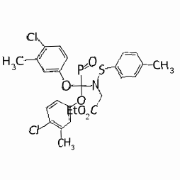 CCOC(=O)CN(Sc1ccc(C)cc1)C(Oc1ccc(Cl)c(C)c1)(Oc1ccc(Cl)c(C)c1)P=O